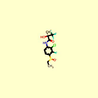 CC[S+]([O-])c1ccc(NC(=O)[C@@](C)(O)C(F)(F)F)c(Cl)c1F